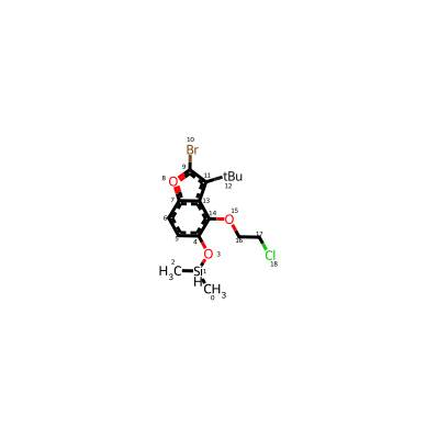 C[SiH](C)Oc1ccc2oc(Br)c(C(C)(C)C)c2c1OCCCl